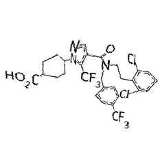 O=C(O)C1CCC(n2ncc(C(=O)N(CCc3c(Cl)cccc3Cl)Cc3ccc(C(F)(F)F)cc3)c2C(F)(F)F)CC1